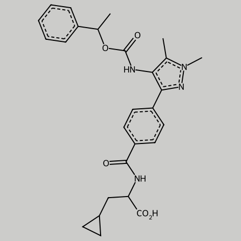 Cc1c(NC(=O)OC(C)c2ccccc2)c(-c2ccc(C(=O)NC(CC3CC3)C(=O)O)cc2)nn1C